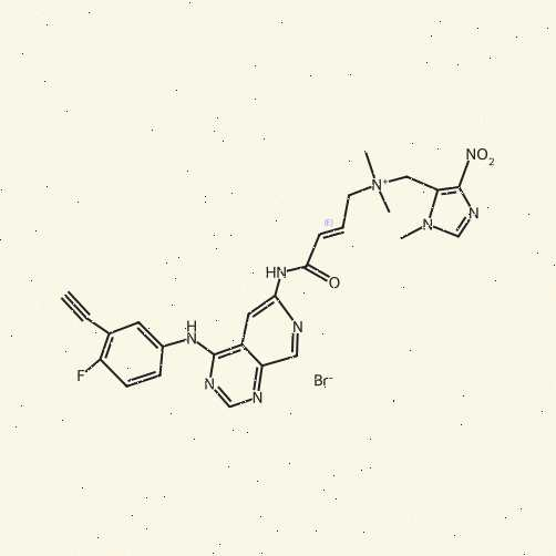 C#Cc1cc(Nc2ncnc3cnc(NC(=O)/C=C/C[N+](C)(C)Cc4c([N+](=O)[O-])ncn4C)cc23)ccc1F.[Br-]